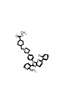 COC(=O)C1CCC(CN2CC[C@H](c3ccc(-n4c(-c5cccnc5N)nc5ccc(-c6ccccc6F)nc54)cc3)C2)CC1